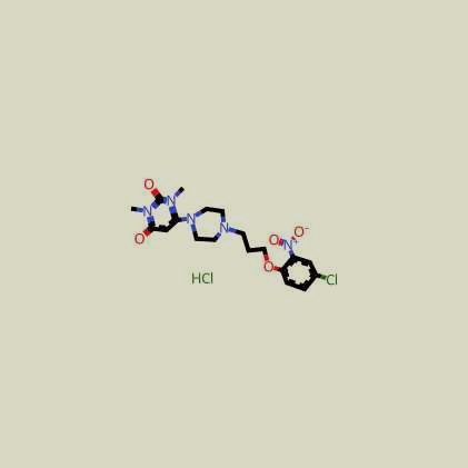 Cl.Cn1c(N2CCN(CCCOc3ccc(Cl)cc3[N+](=O)[O-])CC2)cc(=O)n(C)c1=O